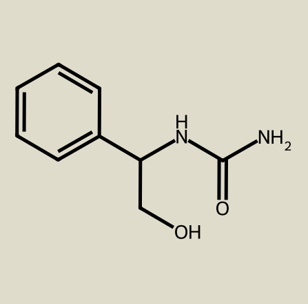 NC(=O)NC(CO)c1ccccc1